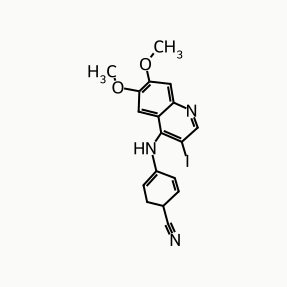 COc1cc2ncc(I)c(NC3=CCC(C#N)C=C3)c2cc1OC